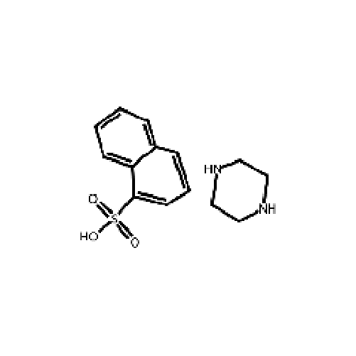 C1CNCCN1.O=S(=O)(O)c1cccc2ccccc12